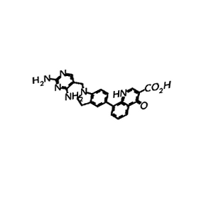 Nc1ncc(CN2CCc3cc(-c4cccc5c(=O)c(C(=O)O)c[nH]c45)ccc32)c(N)n1